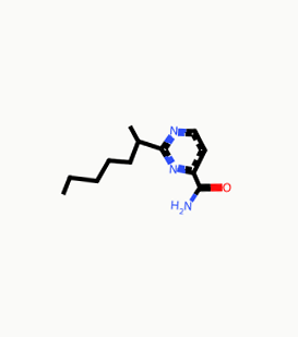 CCCCCC(C)c1nccc(C(N)=O)n1